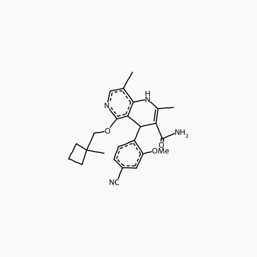 COc1cc(C#N)ccc1C1C(C(N)=O)=C(C)Nc2c(C)cnc(OCC3(C)CCC3)c21